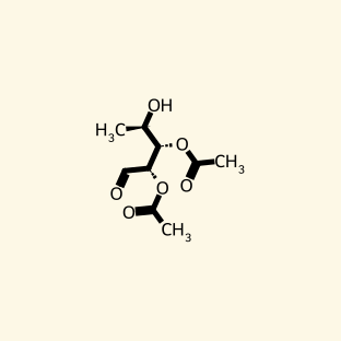 CC(=O)O[C@@H]([C@@H](C)O)[C@@H](C=O)OC(C)=O